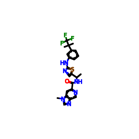 CC(NC(=O)c1cc2c(cn1)ncn2C)c1cnc(Nc2cccc(C(C)(C)C(F)(F)F)c2)s1